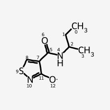 CCC(C)NC(=O)c1csnc1[O]